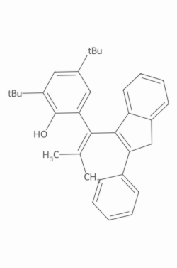 CC(C)=C(C1=C(c2ccccc2)Cc2ccccc21)c1cc(C(C)(C)C)cc(C(C)(C)C)c1O